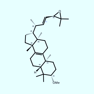 CO[C@H]1CC[C@]2(C)C3=C(CC[C@H]2C1(C)C)[C@]1(C)CC[C@H]([C@H](C)/C=C/[C@H]2OC2(C)C)[C@@]1(C)CC3